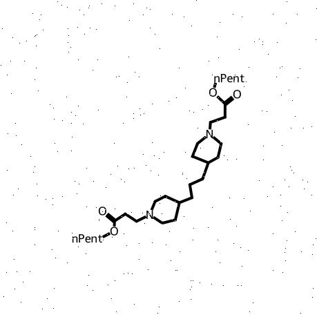 CCCCCOC(=O)CCN1CCC(CCCC2CCN(CCC(=O)OCCCCC)CC2)CC1